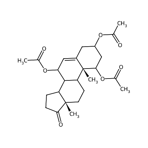 CC(=O)OC1CC2=CC(OC(C)=O)C3C(CC[C@]4(C)C(=O)CCC34)[C@@]2(C)C(OC(C)=O)C1